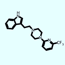 FC(F)(F)c1cccc(N2CCN(CCc3c[nH]c4ccccc34)CC2)n1